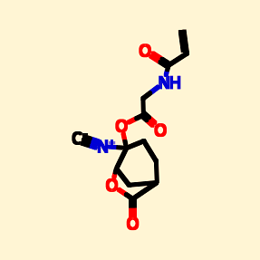 [C-]#[N+]C1(OC(=O)CNC(=O)C=C)CCC2CC1OC2=O